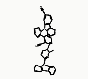 CC1C=C(n2c3c(c4ccccc42)C=CCC3)C=CC1c1cccc(-c2ccccc2-n2c3c(c4ccc(C#N)cc42)CCC=C3)c1C#N